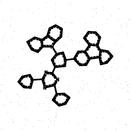 c1ccc(-c2nc(-c3ccccc3)nc(-c3cc(-c4ccc5c6ccccc6c6ccccc6c5c4)cc(-n4c5ccccc5c5ccccc54)c3)n2)cc1